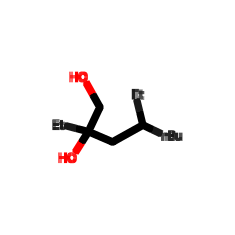 CCCCC(CC)CC(O)(CC)CO